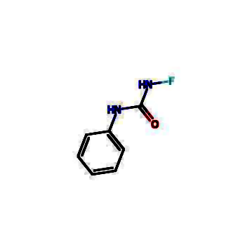 O=C(NF)Nc1ccccc1